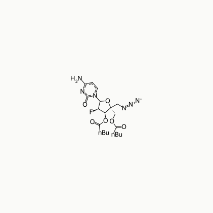 CCCCC(=O)OC[C@@]1(CN=[N+]=[N-])OC(n2ccc(N)nc2=O)[C@H](F)[C@@H]1OC(=O)CCCC